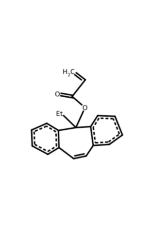 C=CC(=O)OC1(CC)c2ccccc2C=Cc2ccccc21